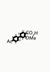 COc1cc(-c2ccc(C(C)=O)cc2)ccc1C(=O)O